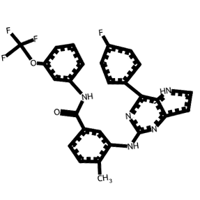 Cc1ccc(C(=O)Nc2cccc(OC(F)(F)F)c2)cc1Nc1nc(-c2ccc(F)cc2)c2[nH]ccc2n1